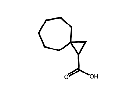 O=C(O)C1CC12CCCCCC2